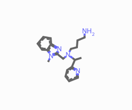 CC(c1ccccn1)N(CCCCN)Cc1nc2ccccc2n1C